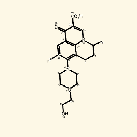 CC1CCc2c(N3CCN(CCO)CC3)c(F)cc3c(=O)c(C(=O)O)cn1c23